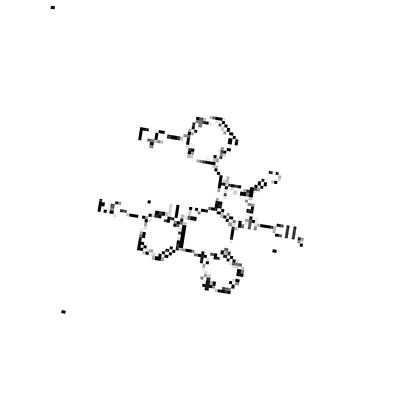 Cc1c(-c2ccnn2-c2ccc(C#N)cc2)n(C)c(=O)n1-c1cccc(C(F)(F)F)c1